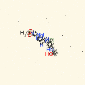 CS(=O)(=O)N1CCC(Nc2ncc(C#N)c(-c3cnn(-c4ccc(CN[C@H]5CCC[C@@H]5O)cc4Cl)c3)n2)CC1